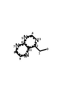 CCc1ncnc2nccnc12